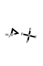 C1C[NH2+]1.F[B-](F)(F)F